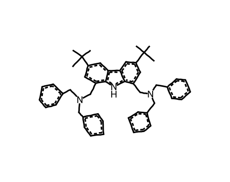 CC(C)(C)c1cc(CN(Cc2ccccc2)Cc2ccccc2)c2[nH]c3c(CN(Cc4ccccc4)Cc4ccccc4)cc(C(C)(C)C)cc3c2c1